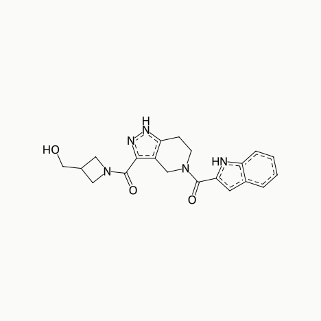 O=C(c1cc2ccccc2[nH]1)N1CCc2[nH]nc(C(=O)N3CC(CO)C3)c2C1